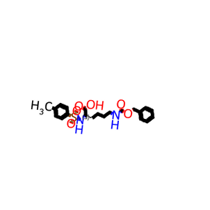 Cc1ccc(S(=O)(=O)N[C@@H](CCCCNC(=O)OCc2ccccc2)C(=O)O)cc1